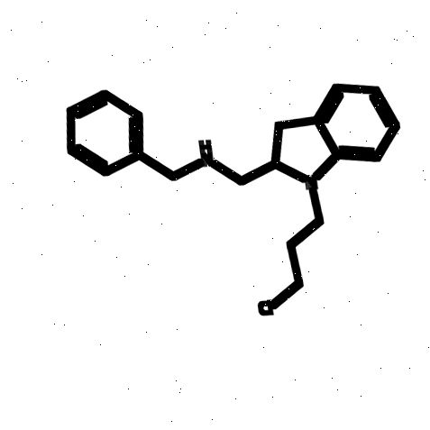 ClCCCN1c2ccccc2CC1CNCc1ccccc1